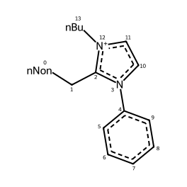 CCCCCCCCCCc1n(-c2ccccc2)cc[n+]1CCCC